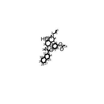 C=CCN1CC[C@@]2(c3cccc(OC(C)=O)c3)C[C@@H](N(C)C(=O)c3ccc4ccccc4c3)CC[C@]2(O)C1